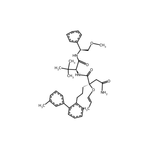 CC=CO[C@](CCCc1ccccc1-c1cccc(C)c1)(CC(N)=O)C(=O)N[C@H](C(=O)N[C@H](COC)c1ccccc1)C(C)(C)C